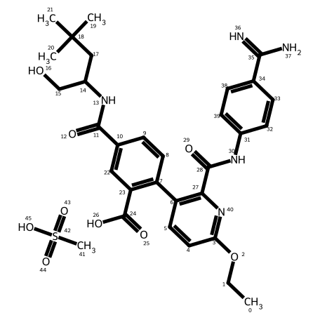 CCOc1ccc(-c2ccc(C(=O)NC(CO)CC(C)(C)C)cc2C(=O)O)c(C(=O)Nc2ccc(C(=N)N)cc2)n1.CS(=O)(=O)O